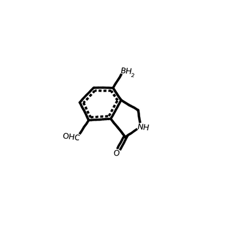 Bc1ccc(C=O)c2c1CNC2=O